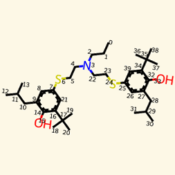 CCCN(CCSc1cc(CC(C)C)c(O)c(C(C)(C)C)c1)CCSc1cc(CC(C)C)c(O)c(C(C)(C)C)c1